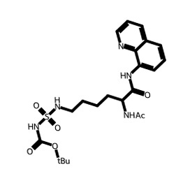 CC(=O)NC(CCCCNS(=O)(=O)NC(=O)OC(C)(C)C)C(=O)Nc1cccc2cccnc12